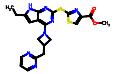 CCc1cc2c(N3CC(Cc4ncccn4)C3)nc(Sc3nc(C(=O)OC)cs3)nc2[nH]1